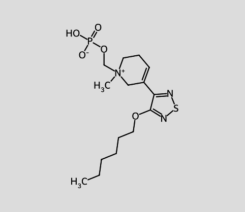 CCCCCCOc1nsnc1C1=CCC[N+](C)(COP(=O)([O-])O)C1